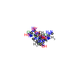 Cc1ccc(C(=NO)c2ccc(Nc3ccccc3C)cc2Cl)s1.Cc1ccccc1Nc1ccc(C(=NO)c2c(C)noc2C)c(Cl)c1.Cc1ccccc1Nc1ccc(C(=NO)c2nc(C)c(C)s2)c(Cl)c1.Cn1ccnc1C(=NO)c1ccc(Nc2ccccc2N)cc1Cl.Cn1ccnc1C(=NO)c1ccc(Nc2ccccc2[N+](=O)[O-])cc1Cl